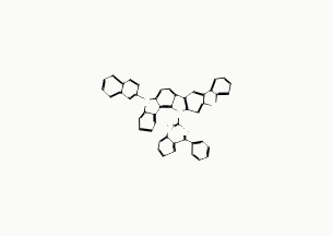 c1ccc(-c2nc(-n3c4cc5oc6ccccc6c5cc4c4ccc5c(c6ccccc6n5-c5ccc6ccccc6c5)c43)nc3ccccc23)cc1